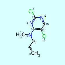 C=CCN(C)c1nc(Cl)ncc1Cl